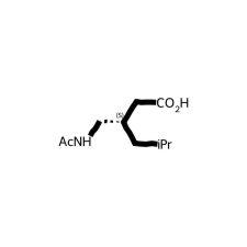 CC(=O)NC[C@H](CC(=O)O)CC(C)C